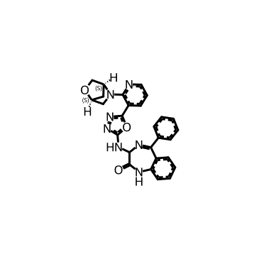 O=C1Nc2ccccc2C(c2ccccc2)=NC1Nc1nnc(-c2cccnc2N2C[C@@H]3C[C@H]2CO3)o1